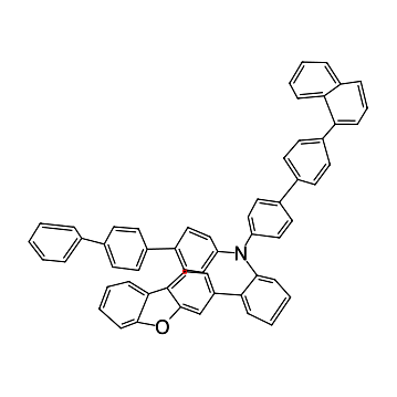 c1ccc(-c2ccc(-c3ccc(N(c4ccc(-c5ccc(-c6cccc7ccccc67)cc5)cc4)c4ccccc4-c4ccc5c(c4)oc4ccccc45)cc3)cc2)cc1